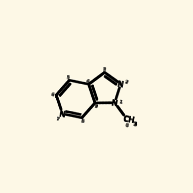 Cn1ncc2c[c]ncc21